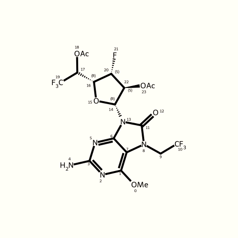 COc1nc(N)nc2c1n(CC(F)(F)F)c(=O)n2[C@@H]1O[C@H](C(OC(C)=O)C(F)(F)F)[C@H](F)[C@H]1OC(C)=O